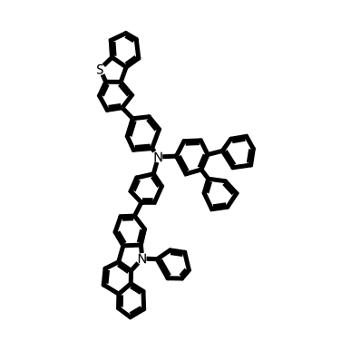 c1ccc(-c2ccc(N(c3ccc(-c4ccc5sc6ccccc6c5c4)cc3)c3ccc(-c4ccc5c6ccc7ccccc7c6n(-c6ccccc6)c5c4)cc3)cc2-c2ccccc2)cc1